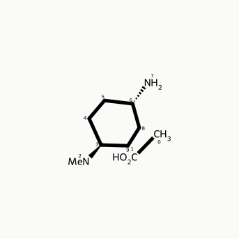 CC(=O)O.CN[C@H]1CC[C@H](N)CC1